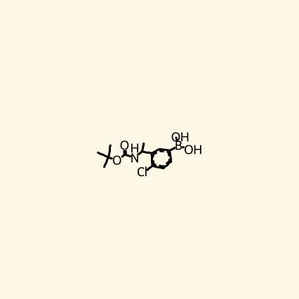 CC(NC(=O)OC(C)(C)C)c1cc(B(O)O)ccc1Cl